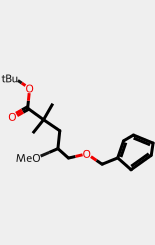 COC(COCc1ccccc1)CC(C)(C)C(=O)OC(C)(C)C